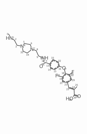 CNCCN1CCN(CCN[S+]([O-])c2ccc(Oc3c(F)cc(/C=C(\C)C(=O)O)cc3F)cc2)CC1